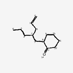 C=CCC(CCC)CC1CCCCC1=O